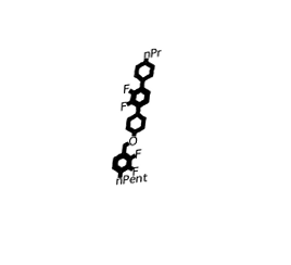 CCCCCc1ccc(COC2CCC(c3ccc(C4CCC(CCC)CC4)c(F)c3F)CC2)c(F)c1F